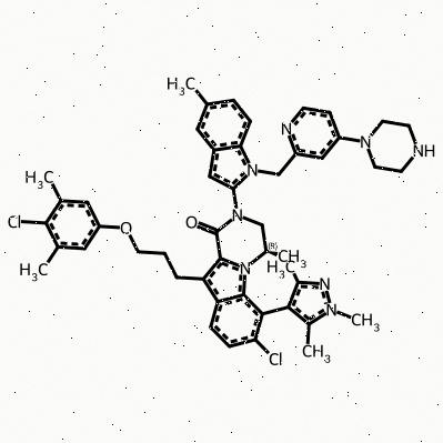 Cc1ccc2c(c1)cc(N1C[C@@H](C)n3c(c(CCCOc4cc(C)c(Cl)c(C)c4)c4ccc(Cl)c(-c5c(C)nn(C)c5C)c43)C1=O)n2Cc1cc(N2CCNCC2)ccn1